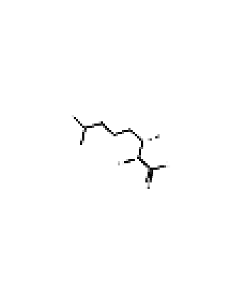 CC(C)CCC[C@H](C)[C@H](Cl)C(=O)Cl